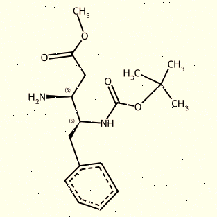 COC(=O)C[C@H](N)[C@H](Cc1ccccc1)NC(=O)OC(C)(C)C